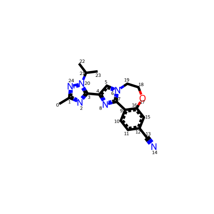 Cc1nc(-c2cn3c(n2)-c2ccc(C#N)cc2OCC3)n(C(C)C)n1